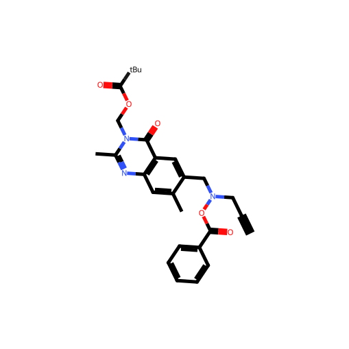 C#CCN(Cc1cc2c(=O)n(COC(=O)C(C)(C)C)c(C)nc2cc1C)OC(=O)c1ccccc1